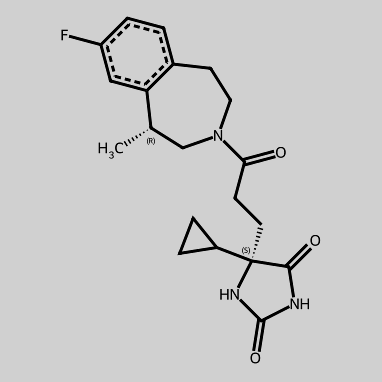 C[C@H]1CN(C(=O)CC[C@@]2(C3CC3)NC(=O)NC2=O)CCc2ccc(F)cc21